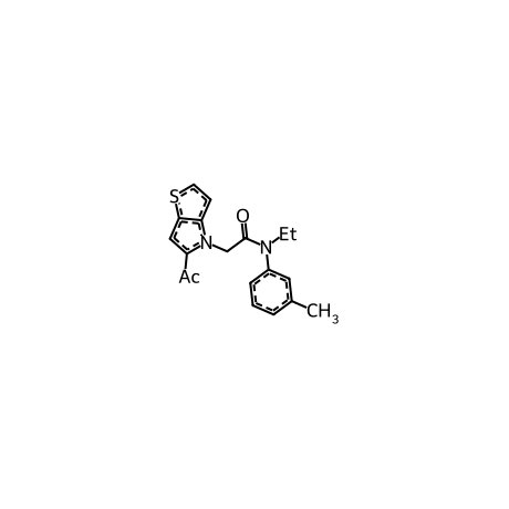 CCN(C(=O)Cn1c(C(C)=O)cc2sccc21)c1cccc(C)c1